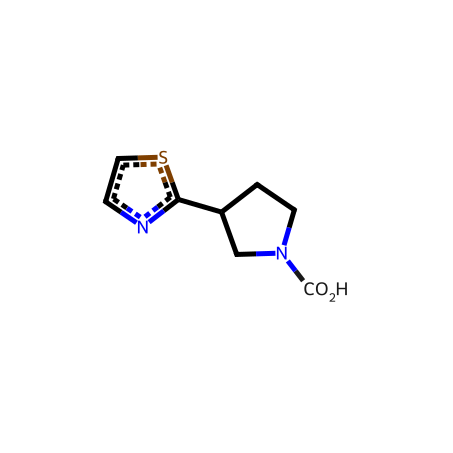 O=C(O)N1CCC(c2nccs2)C1